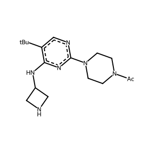 CC(=O)N1CCN(c2ncc(C(C)(C)C)c(NC3CNC3)n2)CC1